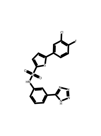 O=S(=O)(Nc1cccc(-c2nnn[nH]2)c1)c1ccc(-c2ccc(F)c(Cl)c2)s1